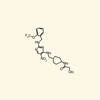 O=C(CO)NC1CCC(CNc2nc(NCc3ccccc3OC(F)(F)F)ncc2[N+](=O)[O-])CC1